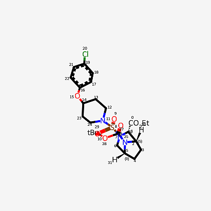 CCOC(=O)[C@@H]1[C@@H]2CC[C@H](CN1S(=O)(=O)N1CCC(Oc3ccc(Cl)cc3)CC1)N2C(=O)OC(C)(C)C